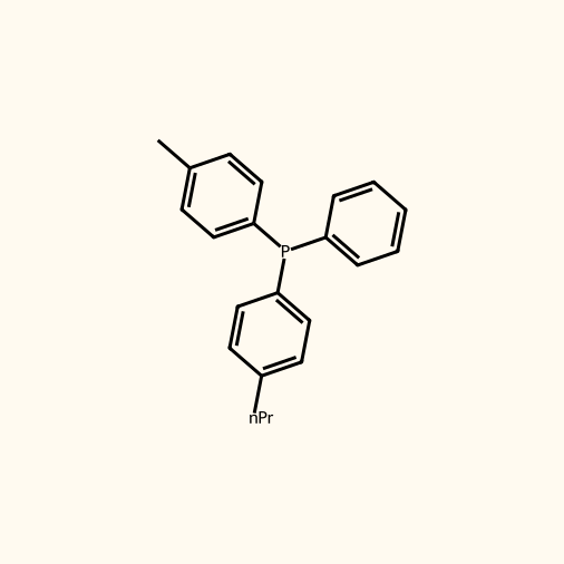 CCCc1ccc(P(c2ccccc2)c2ccc(C)cc2)cc1